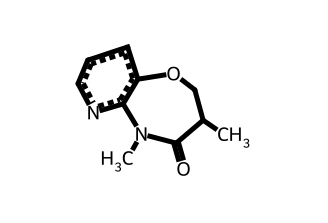 CC1COc2cccnc2N(C)C1=O